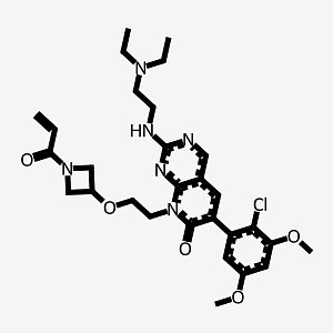 C=CC(=O)N1CC(OCCn2c(=O)c(-c3cc(OC)cc(OC)c3Cl)cc3cnc(NCCN(CC)CC)nc32)C1